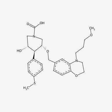 COCCCN1CCOc2ccc(CO[C@H]3CN(C(=O)O)C[C@@H](O)[C@@H]3c3ccc(SC)cc3)cc21